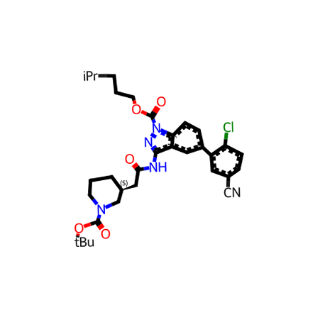 CC(C)CCCOC(=O)n1nc(NC(=O)C[C@@H]2CCCN(C(=O)OC(C)(C)C)C2)c2cc(-c3cc(C#N)ccc3Cl)ccc21